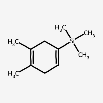 CC1=C(C)CC([Si](C)(C)C)=CC1